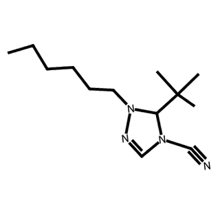 CCCCCCN1N=CN(C#N)C1C(C)(C)C